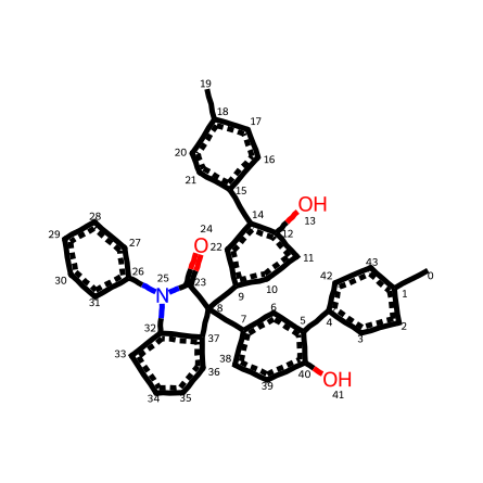 Cc1ccc(-c2cc(C3(c4ccc(O)c(-c5ccc(C)cc5)c4)C(=O)N(c4ccccc4)c4ccccc43)ccc2O)cc1